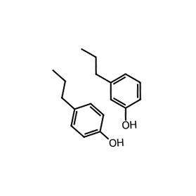 CCCc1ccc(O)cc1.CCCc1cccc(O)c1